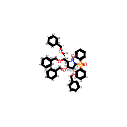 O=P(c1ccccc1)(c1ccccc1)C1[C@H](OCc2ccccc2)[C@@H](OCc2ccccc2)[C@H]([C@@H](COCc2ccccc2)OCc2ccccc2)N1O